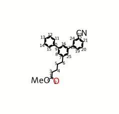 COC(=O)CCCCc1cc(-c2ccccc2)cc(-c2cccc(C#N)c2)c1